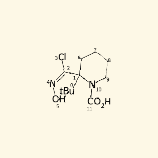 CC(C)(C)C1(/C(Cl)=N\O)CCCCN1C(=O)O